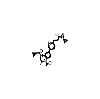 CC(=O)N1c2ccc(-c3ccc(CCC(=O)N(C)C4CC4)nc3)cc2N(C(=O)C2CC2)C[C@@H]1C